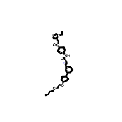 CCCCOCCOc1ccc(-c2cccc(/C=C/C(=O)Nc3ccc([S+]([O-])Cc4cncn4CC)cc3)c2)cc1